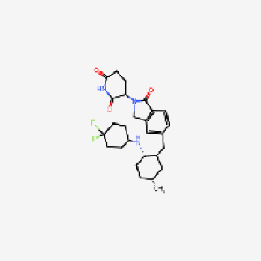 C[C@@H]1CC[C@H](NC2CCC(F)(F)CC2)[C@@H](Cc2ccc3c(c2)CN(C2CCC(=O)NC2=O)C3=O)C1